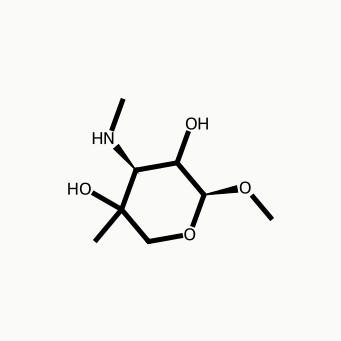 CN[C@H]1C(O)[C@@H](OC)OCC1(C)O